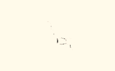 O=C1OCc2c1c1cc(OCCC[SiH3])c2o1